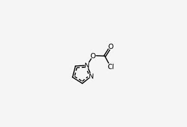 O=C(Cl)On1cccn1